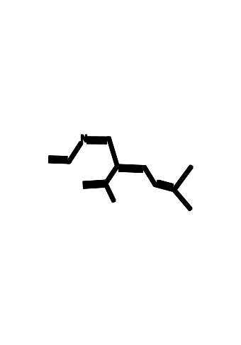 C=C/N=C\C(=C\C=C(C)C)C(=C)C